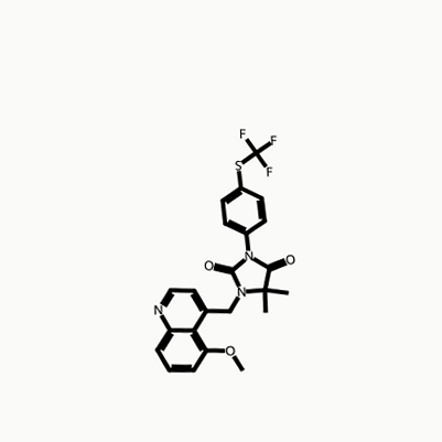 COc1cccc2nccc(CN3C(=O)N(c4ccc(SC(F)(F)F)cc4)C(=O)C3(C)C)c12